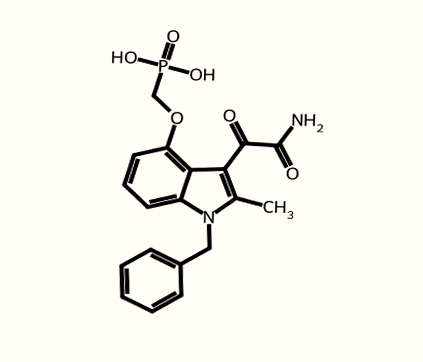 Cc1c(C(=O)C(N)=O)c2c(OCP(=O)(O)O)cccc2n1Cc1ccccc1